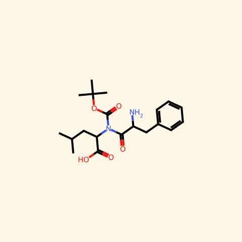 CC(C)CC(C(=O)O)N(C(=O)OC(C)(C)C)C(=O)C(N)Cc1ccccc1